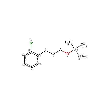 CCCCCC[Si](C)(C)OCCCc1ccccc1Br